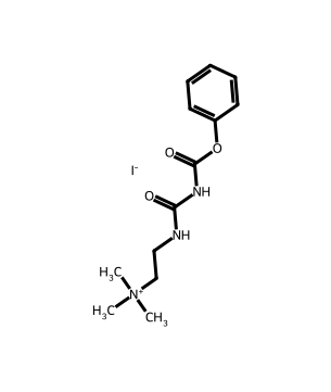 C[N+](C)(C)CCNC(=O)NC(=O)Oc1ccccc1.[I-]